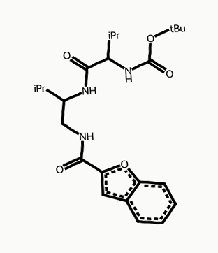 CC(C)C(CNC(=O)c1cc2ccccc2o1)NC(=O)C(NC(=O)OC(C)(C)C)C(C)C